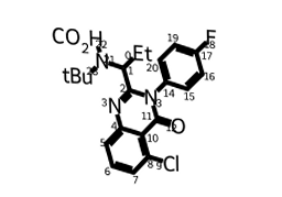 CCC(c1nc2cccc(Cl)c2c(=O)n1-c1ccc(F)cc1)N(C(=O)O)C(C)(C)C